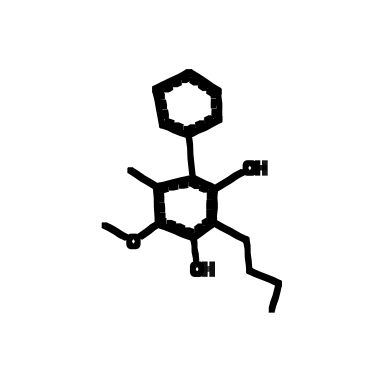 CCCCc1c(O)c(OC)c(C)c(-c2ccccc2)c1O